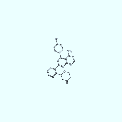 Nc1ncnc2nc(-c3cccnc3C3CNCCO3)cc(-c3ccc(Br)cc3)c12